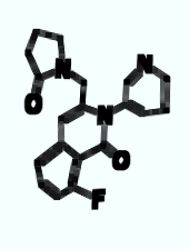 O=C1CCCN1Cc1cc2cccc(F)c2c(=O)n1-c1cccnc1